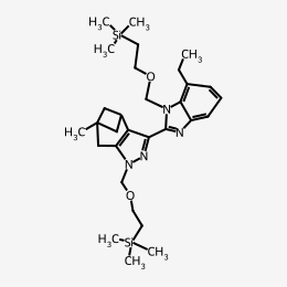 CCc1cccc2nc(-c3nn(COCC[Si](C)(C)C)c4c3C3CC(C)(C4)C3)n(COCC[Si](C)(C)C)c12